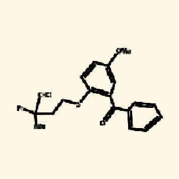 CCCCC(C=O)(CC)CCSc1ccc(OC)cc1C(=O)c1ccccc1